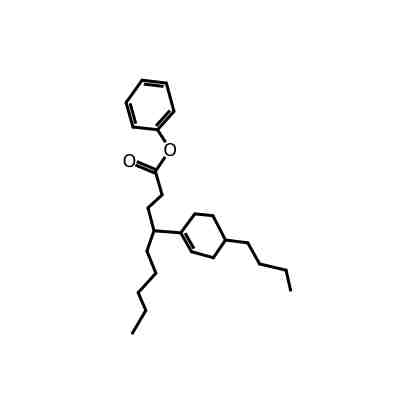 CCCCCC(CCC(=O)Oc1ccccc1)C1=CCC(CCCC)CC1